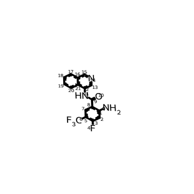 Nc1cc(F)c(C(F)(F)F)cc1C(=O)Nc1cncc2ccccc12